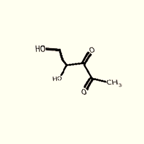 CC(=O)C(=O)C(O)CO